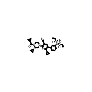 C=CS(=O)(=O)N(c1cccc(-c2cc(C#N)c(N3CCN(C(=O)C4CC4)[C@H](C4CC4)C3)nc2C2CC2)c1)S(=O)(=O)C=C